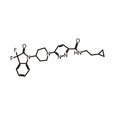 O=C(NCCC1CC1)c1ccc(N2CCC(N3C(=O)C(F)(F)c4ccccc43)CC2)nn1